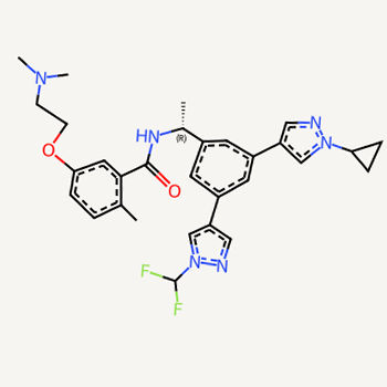 Cc1ccc(OCCN(C)C)cc1C(=O)N[C@H](C)c1cc(-c2cnn(C(F)F)c2)cc(-c2cnn(C3CC3)c2)c1